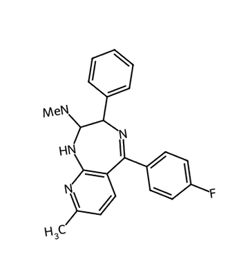 CNC1Nc2nc(C)ccc2C(c2ccc(F)cc2)=NC1c1ccccc1